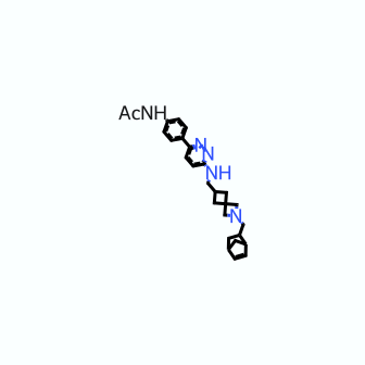 CC(=O)Nc1ccc(-c2ccc(NCC3CC4(C3)CN(CC3CC5C=CC3C5)C4)nn2)cc1